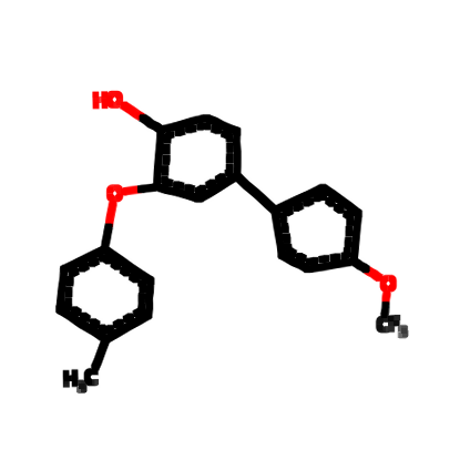 Cc1ccc(Oc2cc(-c3ccc(OC(F)(F)F)cc3)ccc2O)cc1